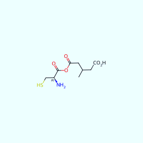 CC(CC(=O)O)CC(=O)OC(=O)[C@@H](N)CS